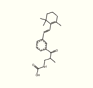 CC1=C(C=Cc2cccc(C(=O)C(C)CNC(=O)O)c2)C(C)(C)CCC1